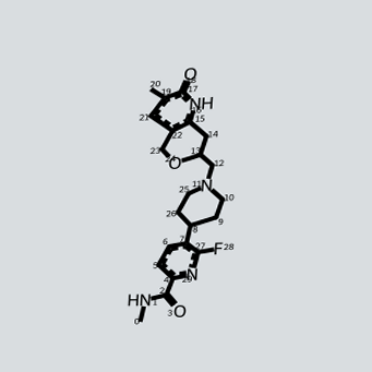 CNC(=O)c1ccc(C2CCN(CC3Cc4[nH]c(=O)c(C)cc4CO3)CC2)c(F)n1